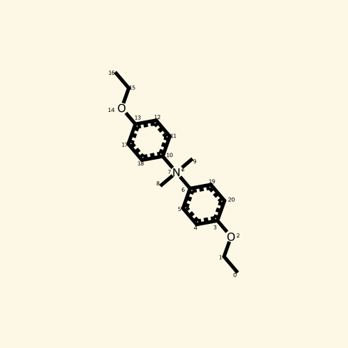 CCOc1ccc([N+](C)(C)c2ccc(OCC)cc2)cc1